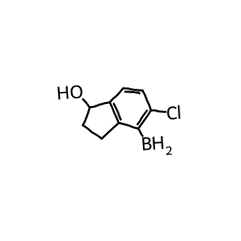 Bc1c(Cl)ccc2c1CCC2O